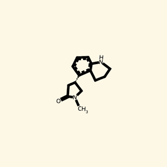 CN1C[C@@H](c2cccc3c2CCCN3)CC1=O